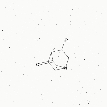 CC(C)C1CN2CCC1C(=O)C2